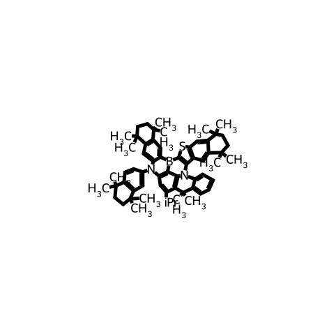 CC(C)c1cc2c3c4c1C(C)(C)c1ccccc1N4c1c(sc4cc5c(cc14)C(C)(C)CCC5(C)C)B3c1cc3c(cc1N2c1ccc2c(c1)C(C)(C)CCC2(C)C)C(C)(C)CCC3(C)C